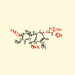 Cc1cc(OCP(=O)(O)O)cc(C)c1C(O)c1ccc(O)c(C(C)C)c1